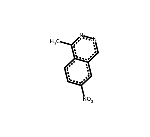 Cc1nncc2cc([N+](=O)[O-])ccc12